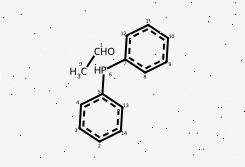 CC=O.c1ccc(Pc2ccccc2)cc1